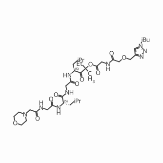 CCC(C)n1cc(COCC(=O)NCC(=O)OC(C)(CC)C(=O)[C@H](CC(C)C)NC(=O)CNC(=O)[C@H](CC(C)C)NC(=O)CNC(=O)CN2CCOCC2)nn1